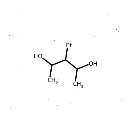 [CH2]C(O)C(CC)C(C)O